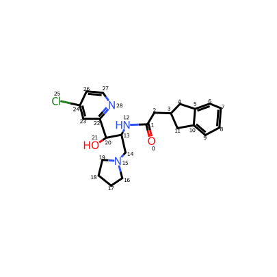 O=C(CC1Cc2ccccc2C1)NC(CN1CCCC1)C(O)c1cc(Cl)ccn1